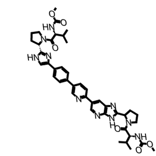 COC(=O)N[C@H](C(=O)N1CCCC1c1nc2cc(-c3ccc(-c4ccc(-c5c[nH]c([C@@H]6CCCN6C(=O)[C@@H](NC(=O)OC)C(C)C)n5)cc4)cn3)cnc2[nH]1)C(C)C